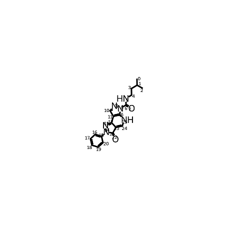 CC(C)CCNC(=O)n1ncc2c3nn(-c4ccccc4)c(=O)c-3c[nH]c21